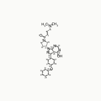 CN(C)C/C=C/C(=O)N1CC[C@@H](n2nc(-c3ccc(Oc4ccccc4)cc3)c3c(O)ncnc32)C1